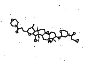 C[C@@H]1CC(CCC(=O)N2CCOCC2)OC2C1C1(C)CCC34CC35CCC(OC3CN(C(=O)CC6CC6)CCO3)C(C)(C)[C@@H]5CCC4[C@]1(C)[C@H]2O